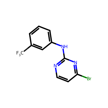 FC(F)(F)c1cccc(Nc2nccc(Br)n2)c1